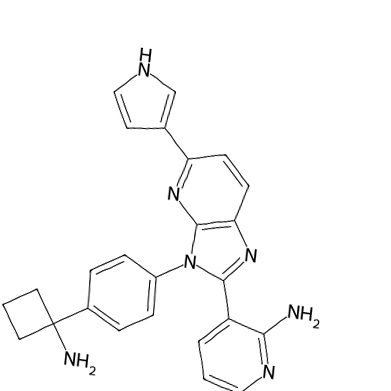 Nc1ncccc1-c1nc2ccc(-c3cc[nH]c3)nc2n1-c1ccc(C2(N)CCC2)cc1